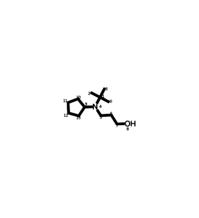 CC(C)(C)N(CCCO)C1CCCC1